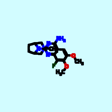 COc1cc2c(N)nc(N3C4CCC3CN(C)C4)nc2c(F)c1OC